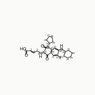 O=C(O)/C=C/CNn1c(=O)c2cc(F)c(NC3CCCCC3)cc2n(C2CCCC2)c1=O